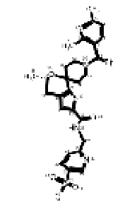 CCC(c1ccc(C(F)(F)F)nc1C)N1CCC2(CC1)O[C@@H](C)Cc1cc(C(=O)NCc3ccc(S(=O)(=O)CC)cn3)sc12